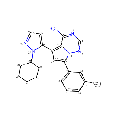 Nc1ncnn2c(-c3cccc(C(=O)O)c3)cc(-c3ccnn3C3CCCCC3)c12